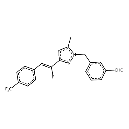 Cc1cc(C(F)=Cc2ccc(C(F)(F)F)cc2)nn1Cc1cccc(C=O)c1